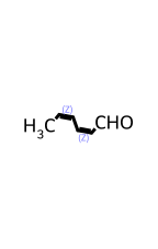 C/C=C\C=C/C=O